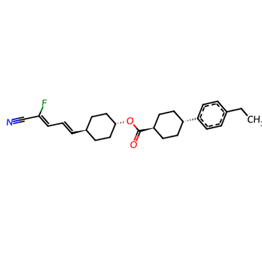 CCc1ccc([C@H]2CC[C@H](C(=O)O[C@H]3CC[C@H](C=CC=C(F)C#N)CC3)CC2)cc1